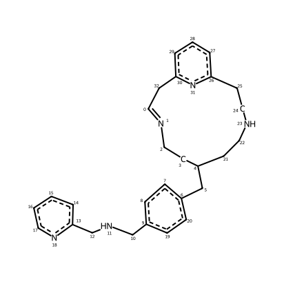 C1=N/CCC(Cc2ccc(CNCc3ccccn3)cc2)CCNCCc2cccc(n2)C/1